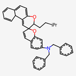 CC(C)CCC1OC2=CC=C3C=CC=CC3C2=CC12C=Cc1ccc(N(Cc3ccccc3)Cc3ccccc3)cc1O2